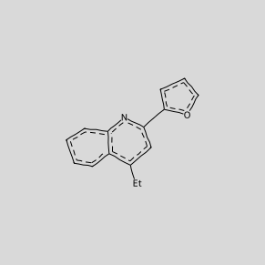 [CH2]Cc1cc(-c2ccco2)nc2ccccc12